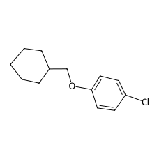 Clc1ccc(OCC2CCCCC2)cc1